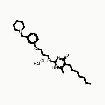 CCCCCCCc1c(C)[nH]c(NCCCOc2cccc(CN3CCCCC3)c2)nc1=O.Cl.Cl